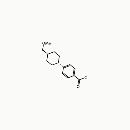 COC[C@H]1CC[C@H](c2ccc(C(=O)Cl)cc2)CC1